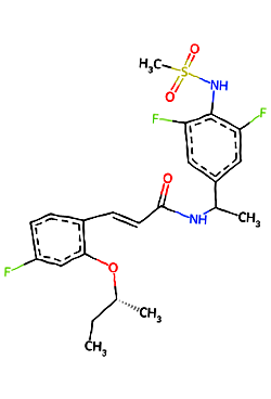 CC[C@@H](C)Oc1cc(F)ccc1/C=C/C(=O)NC(C)c1cc(F)c(NS(C)(=O)=O)c(F)c1